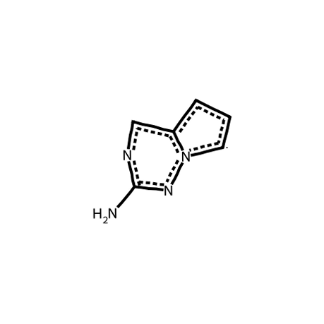 Nc1ncc2cc[c]n2n1